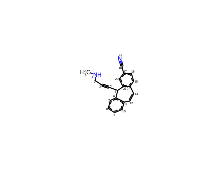 CNCC#CC1c2ccccc2C=Cc2ccc(C#N)cc21